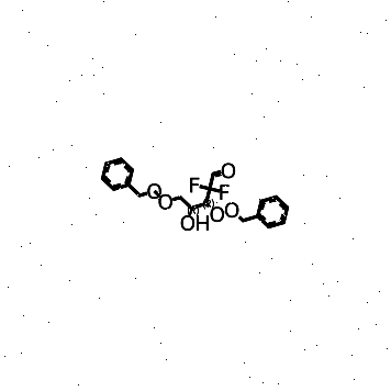 O=CC(F)(F)[C@H](OOCc1ccccc1)[C@H](O)COOCc1ccccc1